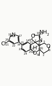 C[C@]12CCOC[C@@H]1C1(COC(N)=N1)c1cc(-c3cncc(Cl)c3)ccc1O2